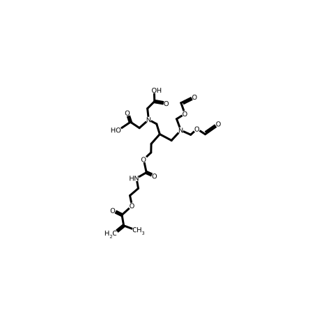 C=C(C)C(=O)OCCNC(=O)OCCC(CN(COC=O)COC=O)CN(CC(=O)O)CC(=O)O